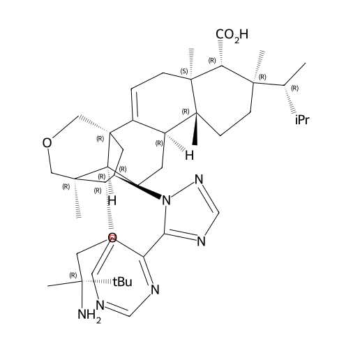 CC(C)[C@@H](C)[C@@]1(C)CC[C@]2(C)[C@H]3CC[C@@H]4[C@@]5(COC[C@]4(C)[C@@H](OC[C@](C)(N)C(C)(C)C)[C@H](n4ncnc4-c4ccncn4)C5)C3=CC[C@@]2(C)[C@@H]1C(=O)O